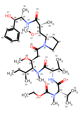 CCOC(=O)N(C)[C@H](C(=O)N[C@H](C(=O)N(C)[C@H]([C@H](CC(=O)N1CCC[C@H]1[C@H](OC)[C@@H](C)C(=O)N[C@@H](C)[C@H](O)c1ccccc1)OC)[C@@H](C)CC)C(C)C)C(C)C